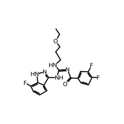 CCOCCCN/C(=N/C(=O)c1ccc(F)c(F)c1)Nc1n[nH]c2c(F)cccc12